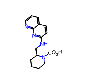 O=C(O)N1CCCC[C@H]1CNc1ccc2cccnc2n1